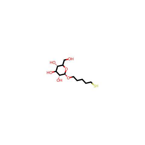 OCC1O[C@@H](OCCCCCS)[C@H](O)C(O)[C@@H]1O